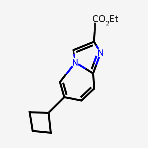 CCOC(=O)c1cn2cc(C3CCC3)ccc2n1